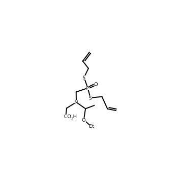 C=CCSP(=O)(CN(CC(=O)O)C(C)OCC)SCC=C